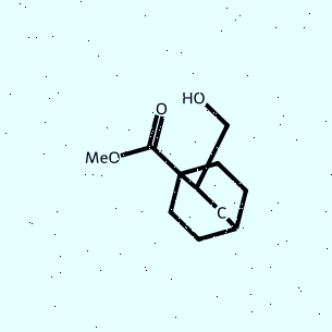 COC(=O)C12CCC(CC1)CC2CO